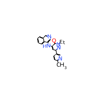 CCn1nc(-c2ccc(C)nc2)cc(Nc2cncc3ccccc23)c1=O